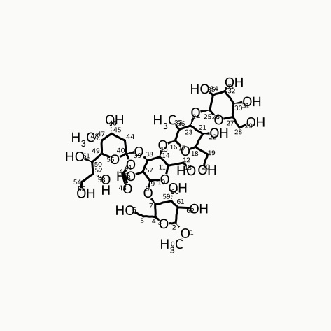 CO[C@@H]1OC(CO)[C@@H](O[C@@H]2OC(CO)[C@H](O[C@@H]3OC(CO)[C@H](O)[C@H](O[C@@H]4OC(CO)[C@H](O)[C@H](O)C4O)C3C)[C@H](O[C@]3(OC=O)C[C@@H](O)[C@@H](C)C([C@H](O)[C@H](O)CO)O3)C2O)[C@H](O)C1O